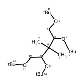 CC(C)(C)OCC(OC(C)(C)C)C(C)(C)C(COC(C)(C)C)OC(C)(C)C